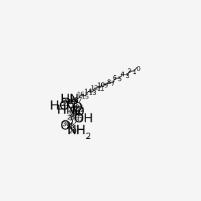 CCCCCCCCCCCCCCCCCCN[C@H](CO)C(=O)N[C@@H](CCC(N)=O)C(=O)O